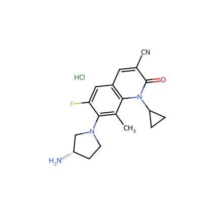 Cc1c(N2CC[C@H](N)C2)c(F)cc2cc(C#N)c(=O)n(C3CC3)c12.Cl